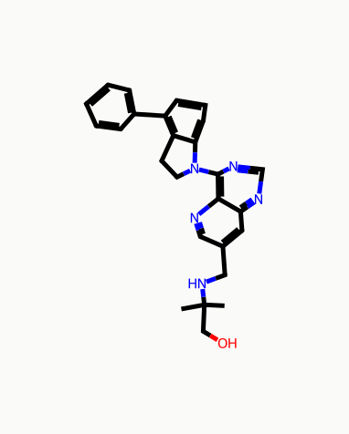 CC(C)(CO)NCc1cnc2c(N3CCc4c(-c5ccccc5)cccc43)ncnc2c1